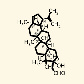 C=C(C)[C@@H]1CC[C@]2(C)CC[C@]3(C)[C@H](CC[C@@H]4[C@@]5(C)CC[C@](O)(C[C]=O)C(C)(C)[C@@H]5CC[C@]43C)[C@@H]12